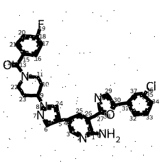 Nc1ncc(-c2cnn(C3CCN(C(=O)c4ccc(F)cc4)CC3)c2)cc1-c1ncc(-c2cccc(Cl)c2)o1